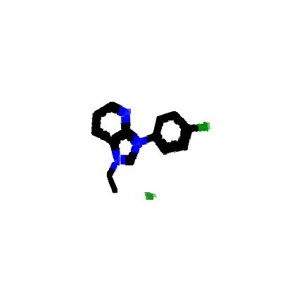 CC[n+]1cn(-c2ccc(F)cc2)c2ncccc21.[Br-]